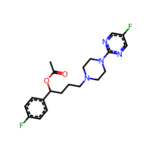 CC(=O)OC(CCCN1CCN(c2ncc(F)cn2)CC1)c1ccc(F)cc1